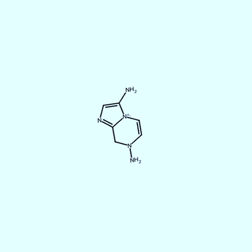 NC1=CN=C2CN(N)C=C[N+]12